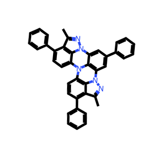 Cc1nn2c3cc(-c4ccccc4)cc4c3-n(c3ccc(-c5ccccc5)c1c32)c1ccc(-c2ccccc2)c2c(C)nn4c21